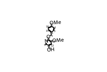 COc1ccc(COc2ncc(O)cc2OC)cc1